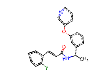 CC(NC(=O)/C=C/c1ccccc1F)c1cccc(Oc2cccnc2)c1